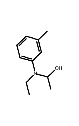 CCN(c1cc[c]c(C)c1)C(C)O